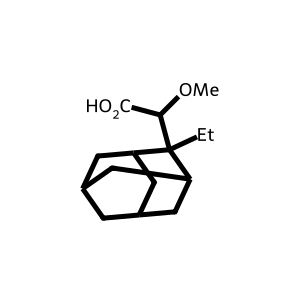 CCC1(C(OC)C(=O)O)C2CC3CC(C2)CC1C3